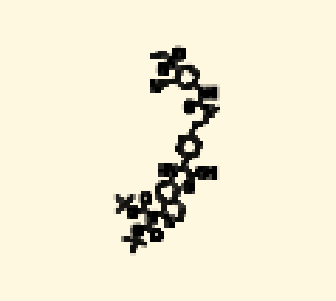 CCS(=O)(=O)c1ccc(NC(=O)N(C)CCc2ccc(C(Nc3ccc4c(N(C(=O)OC(C)(C)C)C(=O)OC(C)(C)C)nccc4c3)C(=O)O)cc2)cc1C#N